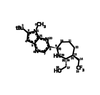 Cn1c(C(C)(C)C)cc2ncc([C@@H]3CCC[C@@H](CC(F)(F)F)[C@H](CO)N3)nc21